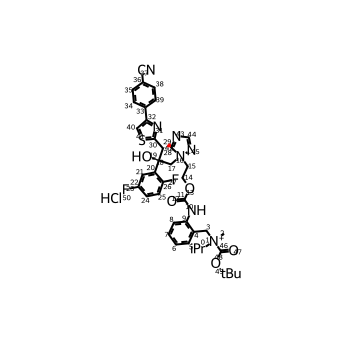 CC(C)[N+](C)(Cc1ccccc1NC(=O)OCC[N+]1(C[C@](O)(c2cc(F)ccc2F)[C@@H](C)c2nc(-c3ccc(C#N)cc3)cs2)C=NC=N1)C(=O)OC(C)(C)C.Cl